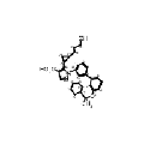 C[C@H](Oc1cccc(-c2cccc(-n3ncc(C(=O)O)c3C3CC3CCCO)c2)c1)C1CCCCC1